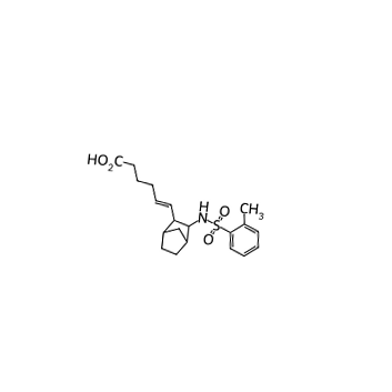 Cc1ccccc1S(=O)(=O)NC1C2CCC(C2)C1C=CCCCC(=O)O